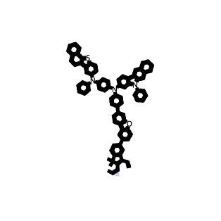 C=CC1=C(/C=C\C)C(C)(C)c2ccc(-c3ccc4oc5cc(-c6ccc(N(c7ccc(N(c8ccccc8)c8ccc9sc%10c%11ccccc%11ccc%10c9c8)cc7)c7ccc8c9cc%10ccccc%10cc9n(-c9ccccc9)c8c7)cc6)ccc5c4c3)cc21